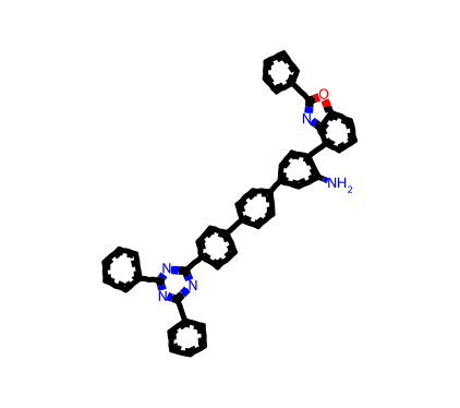 Nc1cc(-c2ccc(-c3ccc(-c4nc(-c5ccccc5)nc(-c5ccccc5)n4)cc3)cc2)ccc1-c1cccc2oc(-c3ccccc3)nc12